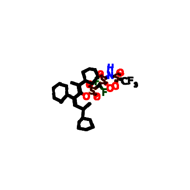 C/C(=C(OS(=O)(=O)C(F)(F)S(=O)(=O)NS(=O)(=O)C(F)(F)F)\C(=C/C(C)C1CCCCC1)C1CCCCC1)C1CCCCC1